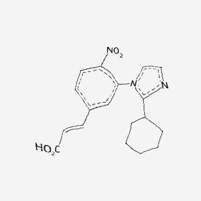 O=C(O)C=Cc1ccc([N+](=O)[O-])c(-n2ccnc2C2CCCCC2)c1